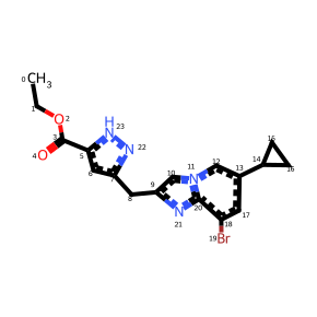 CCOC(=O)c1cc(Cc2cn3cc(C4CC4)cc(Br)c3n2)n[nH]1